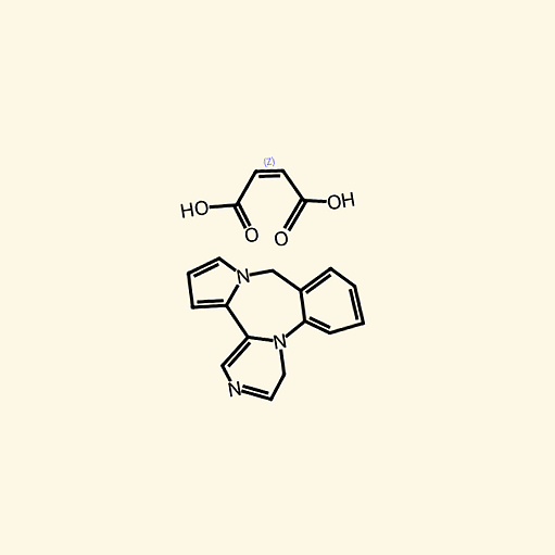 C1=NC=C2c3cccn3Cc3ccccc3N2C1.O=C(O)/C=C\C(=O)O